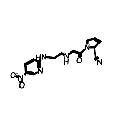 N#C[C@@H]1C=CCN1C(=O)CNCCNc1ccc([N+](=O)[O-])cn1